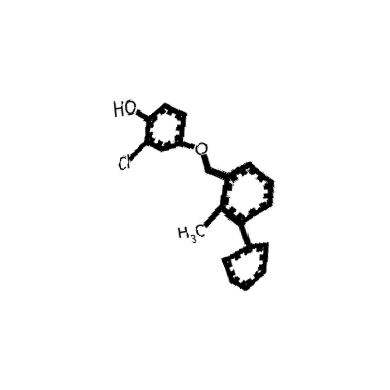 Cc1c(COc2ccc(O)c(Cl)c2)cccc1-c1ccccc1